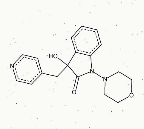 O=C1N(N2CCOCC2)c2ccccc2C1(O)Cc1ccncc1